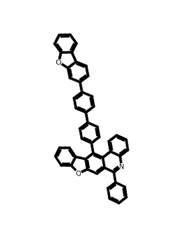 c1ccc(-c2nc3ccccc3c3c(-c4ccc(-c5ccc(-c6ccc7c(c6)oc6ccccc67)cc5)cc4)c4c(cc23)oc2ccccc24)cc1